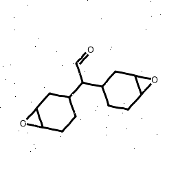 O=[C]C(C1CCC2OC2C1)C1CCC2OC2C1